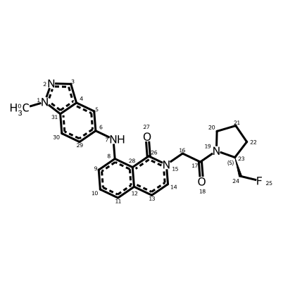 Cn1ncc2cc(Nc3cccc4ccn(CC(=O)N5CCC[C@H]5CF)c(=O)c34)ccc21